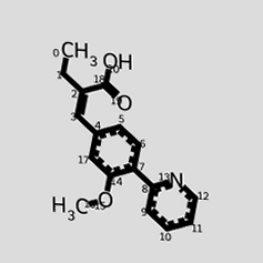 CCC(=Cc1ccc(-c2ccccn2)c(OC)c1)C(=O)O